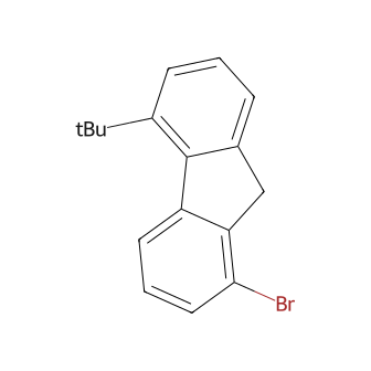 CC(C)(C)c1cccc2c1-c1cccc(Br)c1C2